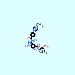 CC(CCO)NC(=O)c1ccc2[nH]nc(NC(=O)c3ccc(N4CCN(C)CC4)cc3)c2c1